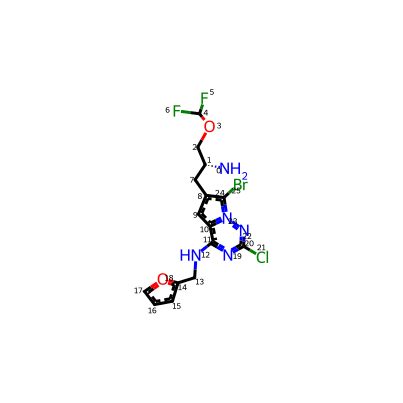 N[C@@H](COC(F)F)Cc1cc2c(NCc3ccco3)nc(Cl)nn2c1Br